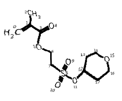 C=C(C)C(=O)OCCS(=O)(=O)OC1CCOCC1